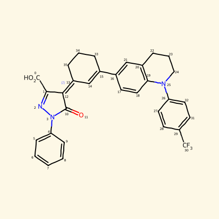 O=C(O)C1=NN(c2ccccc2)C(=O)/C1=C1\C=C(c2ccc3c(c2)CCCN3c2ccc(C(F)(F)F)cc2)CCC1